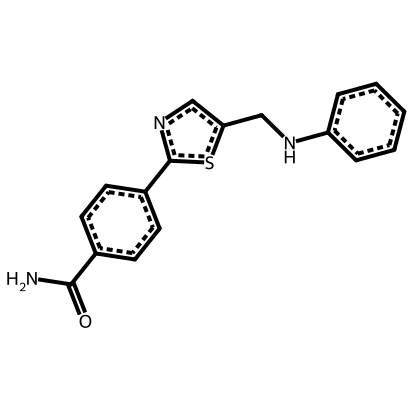 NC(=O)c1ccc(-c2ncc(CNc3ccccc3)s2)cc1